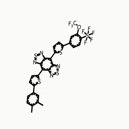 Cc1ccc(-c2ccc(-c3c4c(c(-c5ccc(-c6ccc(S(F)(F)(F)(F)F)c(OC(F)(F)F)c6)s5)c5nsnc35)N=S=N4)s2)cc1C